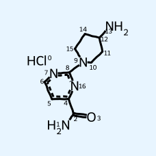 Cl.NC(=O)c1ccnc(N2CCC(N)CC2)n1